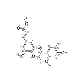 COCC(Oc1ccc(/C=C/C(=O)OC)cc1OC)C(O)c1ccc(O)c(C)c1